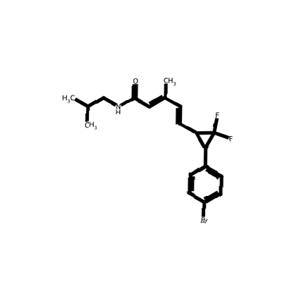 CC(C=CC1C(c2ccc(Br)cc2)C1(F)F)=CC(=O)NCC(C)C